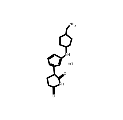 Cl.NCC1CCC(Nc2cccc(C3CCC(=O)NC3=O)c2)CC1